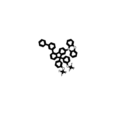 FC(F)(F)Oc1cccc(C2(c3cccc(OC(F)(F)F)c3)c3cc(N4c5ccccc5Oc5ccccc54)ccc3-c3c(-c4cccc(-c5ccccc5)c4)cccc32)c1